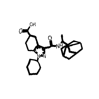 CC(NC(=O)c1nn(C2CCCCC2)c2c1CC(C(=O)O)CC2)C12CC3CC(CC(C3)C1)C2